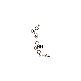 CC(=O)Nc1ccc(C(=O)N[C@H]2CC[C@H](CCN3CCC(C(=O)c4ccc(F)cc4)CC3)CC2)cc1